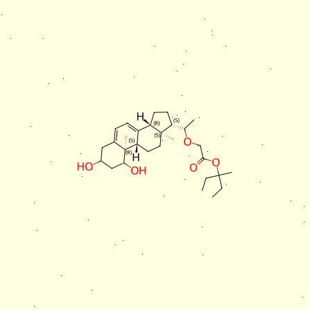 CCC(C)(CC)OC(=O)COC(C)[C@H]1CC[C@H]2C3=CC=C4CC(O)CC(O)[C@]4(C)[C@H]3CC[C@]12C